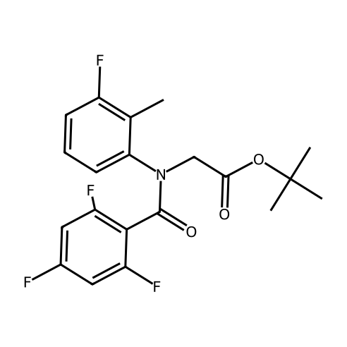 Cc1c(F)cccc1N(CC(=O)OC(C)(C)C)C(=O)c1c(F)cc(F)cc1F